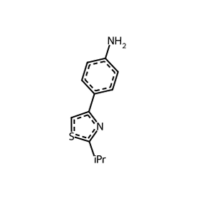 CC(C)c1nc(-c2ccc(N)cc2)cs1